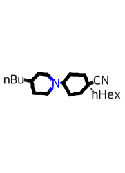 CCCCCC[C@]1(C#N)CC[C@H](N2CCC(CCCC)CC2)CC1